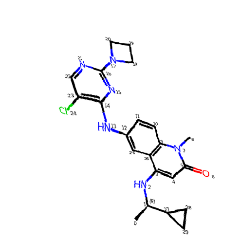 C[C@@H](Nc1cc(=O)n(C)c2ccc(Nc3nc(N4CCC4)ncc3Cl)cc12)C1CC1